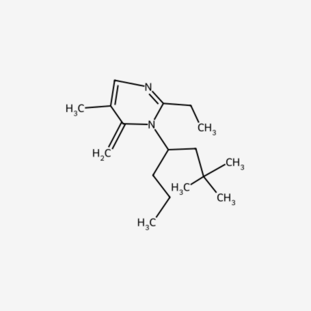 C=C1C(C)=CN=C(CC)N1C(CCC)CC(C)(C)C